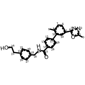 Cc1nnc(-c2ccc(C)c(-c3ccc(C(=O)NCc4ccc(CCO)cc4)cc3)c2)o1